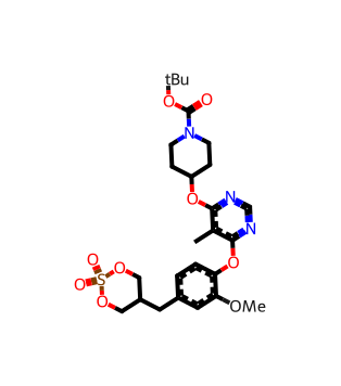 COc1cc(CC2COS(=O)(=O)OC2)ccc1Oc1ncnc(OC2CCN(C(=O)OC(C)(C)C)CC2)c1C